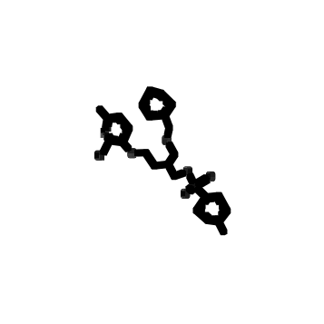 Cc1ccc(S(=O)(=O)OCC(CCOc2ccc(C)nc2Cl)COCc2ccccc2)cc1